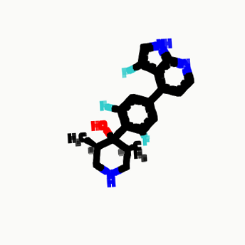 C[C@@H]1CNC[C@H](C)C1(O)c1c(F)cc(-c2ccnc3[nH]cc(F)c23)cc1F